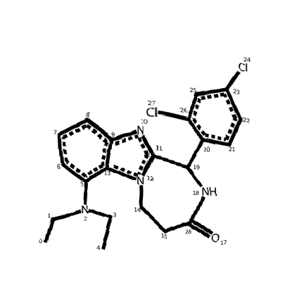 CCN(CC)c1cccc2nc3n(c12)CCC(=O)NC3c1ccc(Cl)cc1Cl